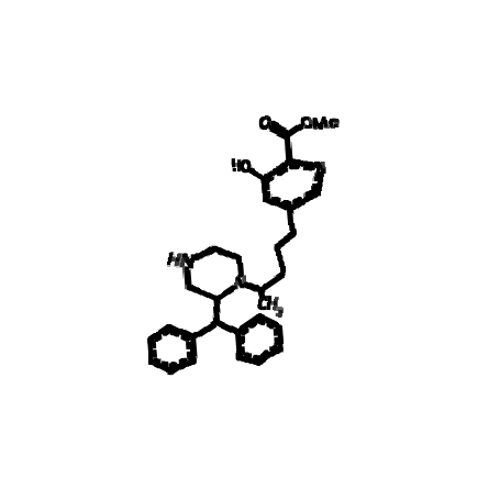 COC(=O)c1ncc(CCCC(C)N2CCNCC2C(c2ccccc2)c2ccccc2)cc1O